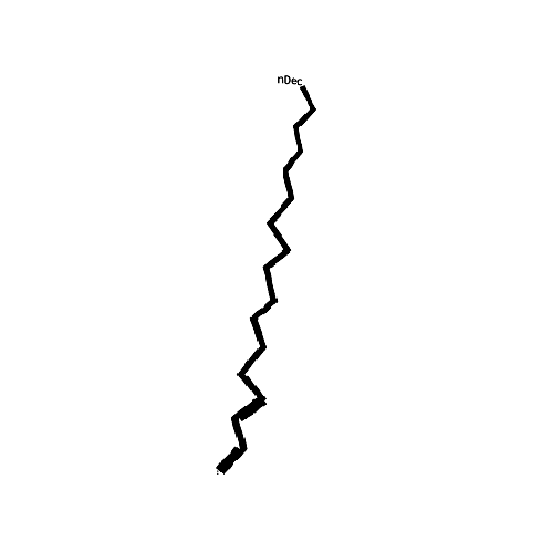 [C]=CC=CCCCCCCCCCCCCCCCCCCCCCC